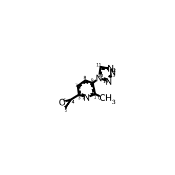 Cc1nc(C2CO2)ccc1-n1cnnn1